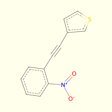 O=[N+]([O-])c1ccccc1C#Cc1ccsc1